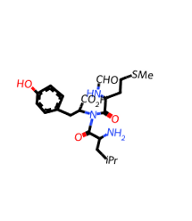 CSCCC(NC=O)C(=O)N(C(=O)C(N)CC(C)C)C(Cc1ccc(O)cc1)C(=O)O